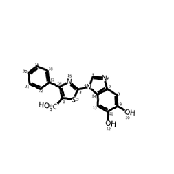 O=C(O)c1sc(-n2cnc3cc(O)c(O)cc32)nc1-c1ccccc1